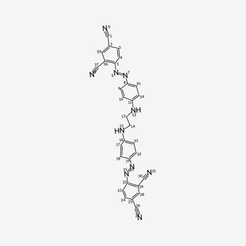 N#Cc1ccc(/N=N/c2ccc(NCCNc3ccc(/N=N/c4ccc(C#N)cc4C#N)cc3)cc2)c(C#N)c1